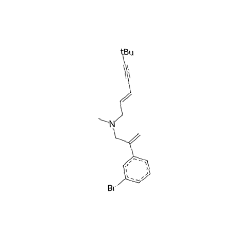 C=C(CN(C)C/C=C/C#CC(C)(C)C)c1cccc(Br)c1